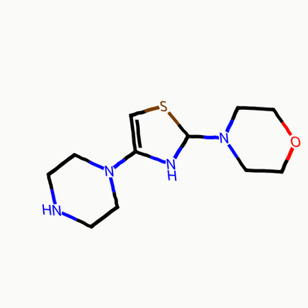 C1=C(N2CCNCC2)NC(N2CCOCC2)S1